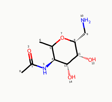 CC(=O)N[C@H]1C(C)O[C@H](CN)[C@H](O)[C@@H]1O